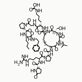 CCCC[C@@H](NC(=O)[C@@H]1CCCN1C(=O)CNC(=O)[C@H](CCCCNC(=O)O)NC(=O)[C@@H]1CSSC[C@H](NC(=O)[C@@H]2CCCN2C(=O)C(CCCNC(=N)N)NC(=O)[C@@H]2CCC(=O)N2)C(=O)N[C@@H](CC(C)C)C(=O)N[C@@H](CO)C(=O)N1)C(=O)NCCc1ccccc1